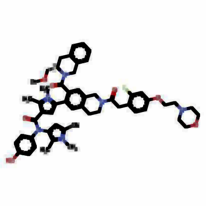 CCOC[C@@H]1Cc2ccccc2CN1C(=O)c1cc2c(cc1-c1cc(C(=O)N(c3ccc(O)cc3)c3cc(C#N)n(C)c3C)c(C)n1C)CCN(C(=O)Cc1ccc(OCCN3CCOCC3)cc1F)C2